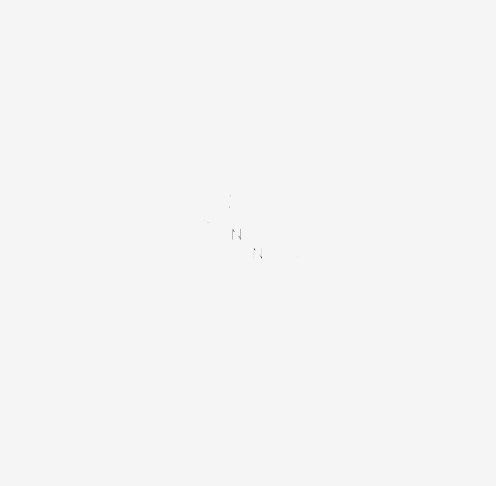 CN(C)N1C#C1